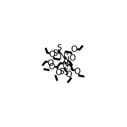 CCOC(C[N+](CC(OCC)OCC)([N][N+](CC(OCC)OCC)(CC(OCC)OCC)C(=S)[S-])C(=S)[S-])OCC